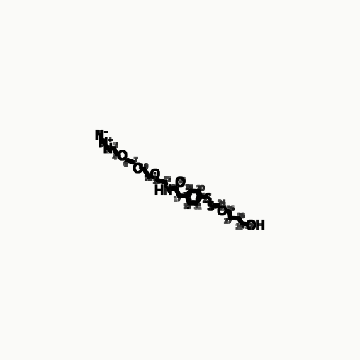 [N-]=[N+]=NCCOCCOCCOCCNC(=O)Cc1ccc(SSCOCCCCO)cc1